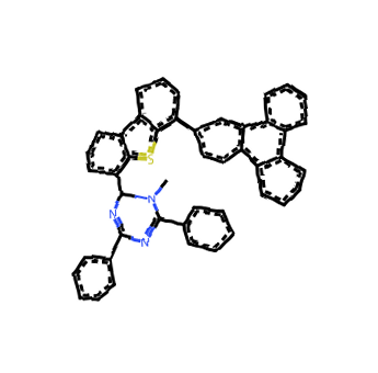 CN1C(c2ccccc2)=NC(c2ccccc2)=NC1c1cccc2c1sc1c(-c3ccc4c5ccccc5c5ccccc5c4c3)cccc12